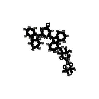 CC1(C)OB(B2OC(C)(C)C(C)(Cc3cccc4c3c3ccccc3n4-c3cc(Cl)nc(-n4c5ccccc5c5ccccc54)n3)O2)OC1(C)C